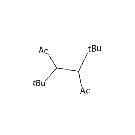 CC(=O)C(C(C(C)=O)C(C)(C)C)C(C)(C)C